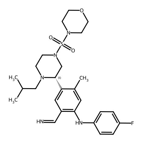 Cc1cc(Nc2ccc(F)cc2)c(C=N)cc1[C@H]1CN(S(=O)(=O)N2CCOCC2)CCN1CC(C)C